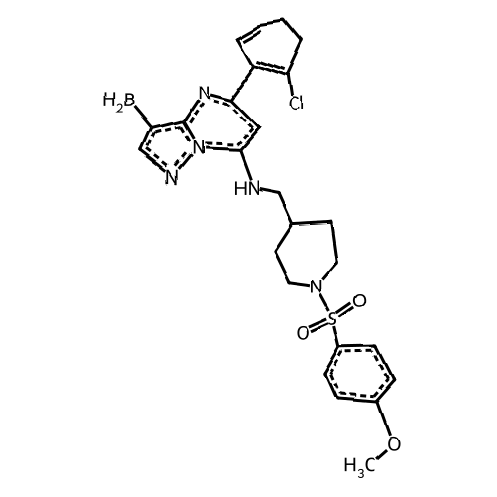 Bc1cnn2c(NCC3CCN(S(=O)(=O)c4ccc(OC)cc4)CC3)cc(C3=C(Cl)CCC=C3)nc12